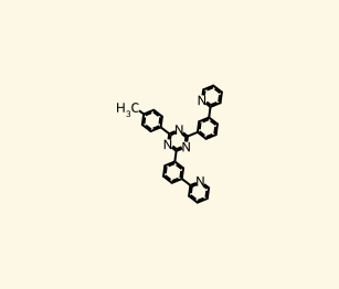 Cc1ccc(-c2nc(-c3cccc(-c4ccccn4)c3)nc(-c3cccc(-c4ccccn4)c3)n2)cc1